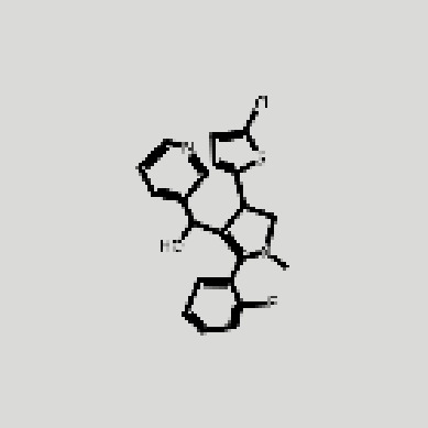 CN1CC(c2ccc(Cl)s2)C(C(O)c2cccnc2)=C1c1ccccc1F